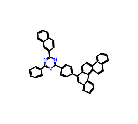 c1ccc(-c2nc(-c3ccc(-c4cc5ccccc5c5c4ccc4c6ccccc6ccc45)cc3)nc(-c3ccc4ccccc4c3)n2)cc1